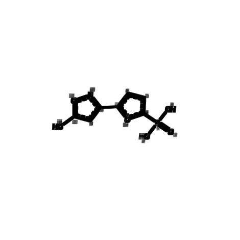 O=P(O)(O)c1ccc(-c2cc(O)on2)o1